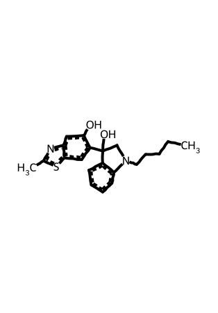 CCCCCN1CC(O)(c2cc3sc(C)nc3cc2O)c2ccccc21